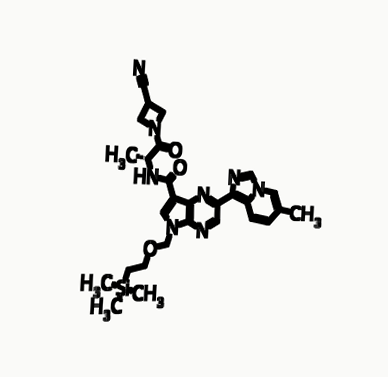 Cc1ccc2c(-c3cnc4c(n3)c(C(=O)N[C@H](C)C(=O)N3CC(C#N)C3)cn4COCC[Si](C)(C)C)ncn2c1